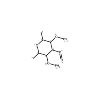 CC1OC(C)C(OP)C(P=O)C1OP